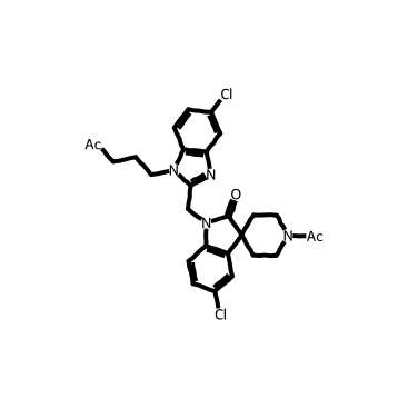 CC(=O)CCCn1c(CN2C(=O)C3(CCN(C(C)=O)CC3)c3cc(Cl)ccc32)nc2cc(Cl)ccc21